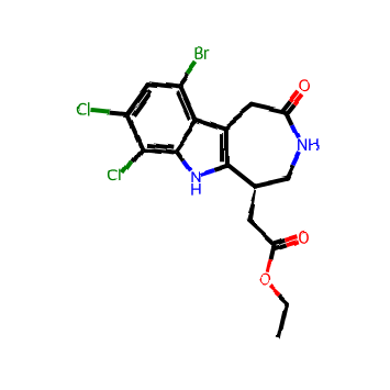 CCOC(=O)C[C@@H]1CNC(=O)Cc2c1[nH]c1c(Cl)c(Cl)cc(Br)c21